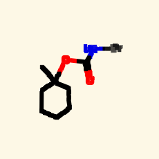 CC(C)NC(=O)OC1(C)CCCCC1